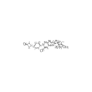 O=C1CC(c2ccc(-c3nc4nc(O[C@@H]5CO[C@H]6[C@@H]5OC[C@H]6O)[nH]c4cc3Cl)cc2)C1